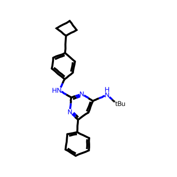 CC(C)(C)Nc1cc(-c2ccccc2)nc(Nc2ccc(C3CCC3)cc2)n1